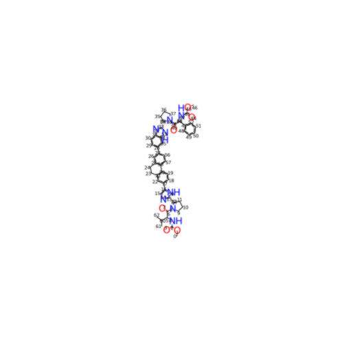 COC(=O)NC(C(=O)N1CCC[C@H]1c1ncc(-c2ccc3c(c2)CCc2cc(-c4ccc5nc([C@@H]6CCCN6C(=O)[C@H](NC(=O)OC)c6ccccc6)[nH]c5c4)ccc2-3)[nH]1)C(C)C